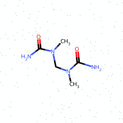 CN(CN(C)C(N)=O)C(N)=O